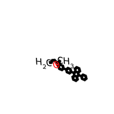 C=C/C=C\c1oc2ccc(-c3ccc(-c4c5ccccc5c(-c5ccccc5)c5ccccc45)cc3)cc2c1C